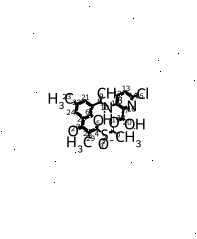 CC[S+]([O-])c1oc2c(C(C)Nc3ccc(Cl)nc3C(=O)O)cc(C)cc2c(=O)c1C